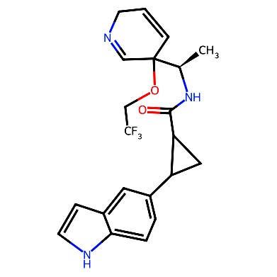 C[C@@H](NC(=O)C1CC1c1ccc2[nH]ccc2c1)C1(OCC(F)(F)F)C=CCN=C1